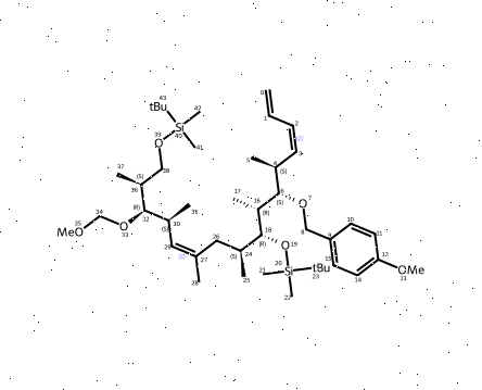 C=C/C=C\[C@H](C)[C@H](OCc1ccc(OC)cc1)[C@@H](C)[C@H](O[Si](C)(C)C(C)(C)C)[C@@H](C)C/C(C)=C\[C@H](C)[C@@H](OCOC)[C@@H](C)CO[Si](C)(C)C(C)(C)C